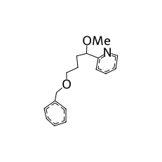 COC(CCCOCc1ccccc1)c1ccccn1